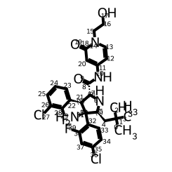 CC(C)(C)C[C@@H]1N[C@@H](C(=O)Nc2ccn(CCO)c(=O)c2)[C@H](c2cccc(Cl)c2F)[C@@]1(N)c1ccc(Cl)cc1F